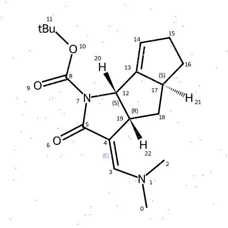 CN(C)/C=C1/C(=O)N(C(=O)OC(C)(C)C)[C@@H]2C3=CCC[C@H]3C[C@H]12